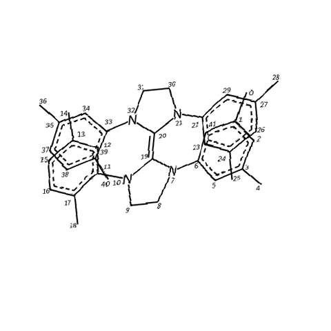 Cc1cc(C)cc(N2CCN(c3cc(C)ccc3C)/C2=C2/N(c3cc(C)cc(C)c3)CCN2c2cc(C)ccc2C)c1